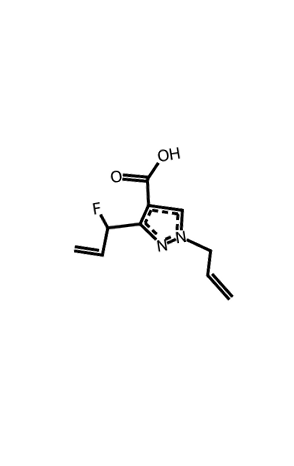 C=CCn1cc(C(=O)O)c(C(F)C=C)n1